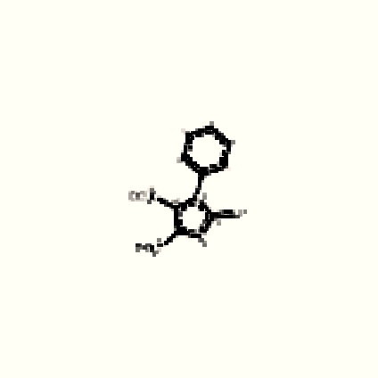 CCOC(=O)c1sc(=O)n(-c2ccccc2)c1C(=O)OCC